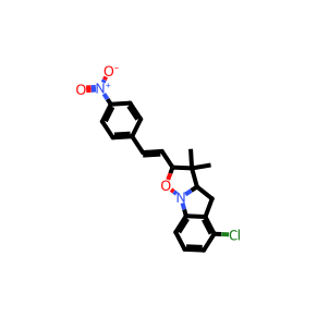 CC1(C)C(C=Cc2ccc([N+](=O)[O-])cc2)ON2c3cccc(Cl)c3CC21